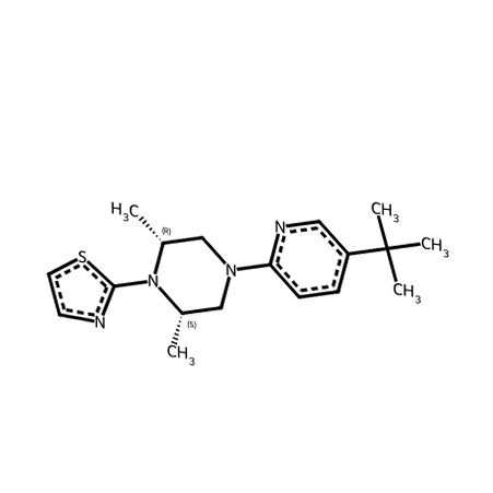 C[C@@H]1CN(c2ccc(C(C)(C)C)cn2)C[C@H](C)N1c1nccs1